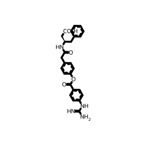 N=C(N)Nc1ccc(C(=O)Oc2ccc(CC(=O)N[C@@H](CC(=O)O)Cc3ccccc3)cc2)cc1